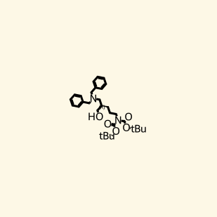 CC(C)(C)OC(=O)N(CCC[C@@H](CO)CN(Cc1ccccc1)Cc1ccccc1)C(=O)OC(C)(C)C